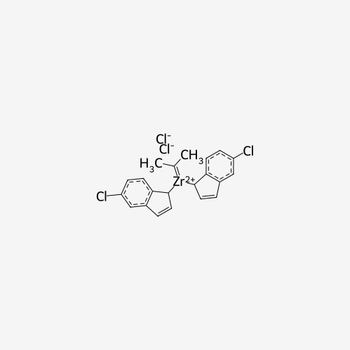 C[C](C)=[Zr+2]([CH]1C=Cc2cc(Cl)ccc21)[CH]1C=Cc2cc(Cl)ccc21.[Cl-].[Cl-]